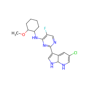 COC1CCCCC1Nc1nc(C2=CNC3NC=C(Cl)C=C23)ncc1F